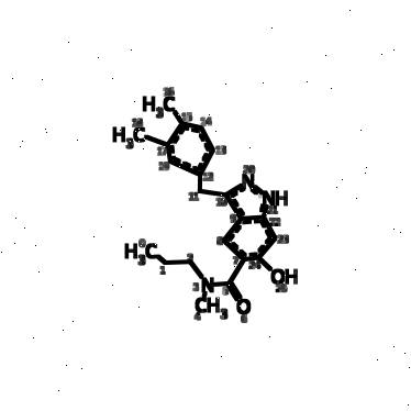 CCCN(C)C(=O)c1cc2c(Cc3ccc(C)c(C)c3)n[nH]c2cc1O